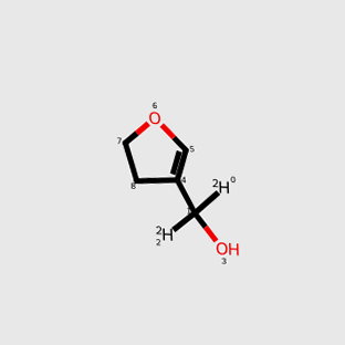 [2H]C([2H])(O)C1=COCC1